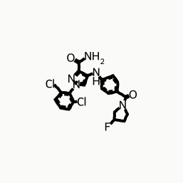 NC(=O)c1nn(-c2c(Cl)cccc2Cl)cc1Nc1ccc(C(=O)N2CCC(F)C2)cc1